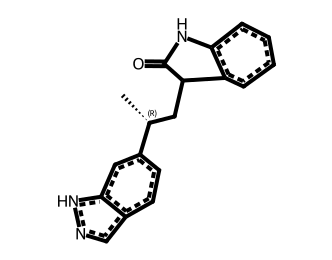 C[C@H](CC1C(=O)Nc2ccccc21)c1ccc2cn[nH]c2c1